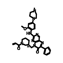 C=CC(=O)N1CCC[C@@H](Cn2c(=O)c(-c3ccccc3)nc3cnc(Nc4ccc(N5CCN(C)CC5)cc4OC)nc32)C1